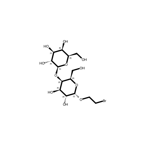 OC[C@H]1O[C@@H](O[C@@H]2[C@H](O)[C@@H](O)[C@@H](OCCBr)O[C@@H]2CO)[C@H](O)[C@@H](O)[C@H]1O